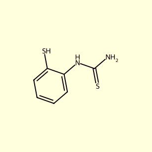 NC(=S)Nc1ccccc1S